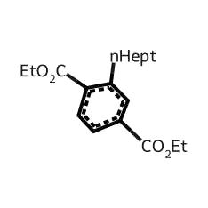 CCCCCCCc1cc(C(=O)OCC)ccc1C(=O)OCC